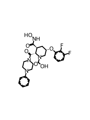 O=C(NO)[C@H]1C[C@H](Oc2cccc(F)c2F)CN(C(=O)O)[C@@H]1C(=O)N1CCN(c2ccccc2)CC1